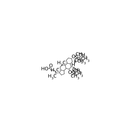 CC[C@H]1C(O[Si](C)(C)C)C2C3CCC([C@H](C)CCC(=O)O)[C@@]3(C)CCC2[C@@]2(C)CCC(O[Si](C)(C)C(C)(C)C)[C@H](F)[C@@H]12